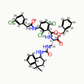 CC1(C)CCC(NC(=O)NC[C@H](NC(=O)c2c(Cl)ccc(NC(=O)Cc3cccc(Cl)c3)c2Cl)C(=O)OCc2ccccc2)c2ccccc21